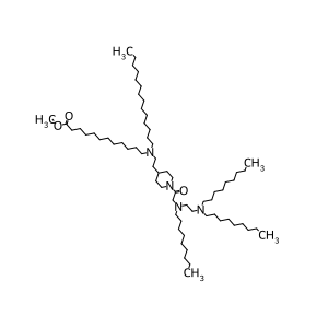 CCCCCCCCCCCCCCN(CCCCCCCCCCCC(=O)OC)CCC1CCN(C(=O)CN(CCCCCCCCC)CCN(CCCCCCCCC)CCCCCCCCC)CC1